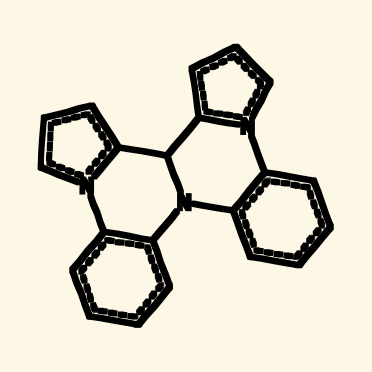 c1ccc2c(c1)N1c3ccccc3-n3cccc3C1c1cccn1-2